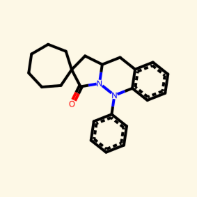 O=C1N2C(Cc3ccccc3N2c2ccccc2)CC12CCCCCC2